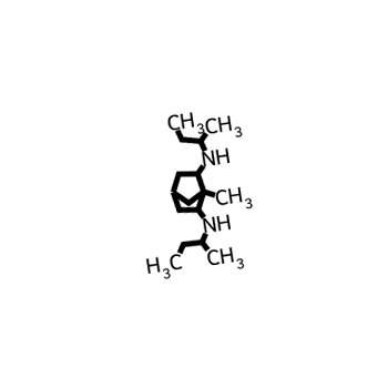 CCC(C)NC1CC2CC(NC(C)CC)C1(C)C2